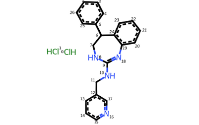 Cl.Cl.c1ccc(C2CNC(NCc3cccnc3)=Nc3ccccc32)cc1